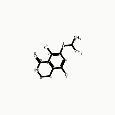 CC(C)Oc1cc(Cl)c2c(c1Cl)C(=O)NCC2